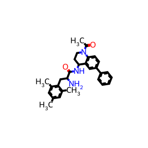 CC(=O)N1CCC(NC(=O)C(N)Cc2c(C)cc(C)cc2C)c2cc(-c3ccccc3)ccc21